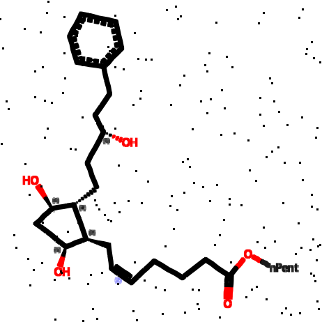 CCCCCOC(=O)CCC/C=C\C[C@@H]1[C@@H](CC[C@@H](O)CCc2ccccc2)[C@H](O)C[C@@H]1O